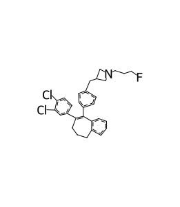 FCCCN1CC(Cc2ccc(C3=C(c4ccc(Cl)c(Cl)c4)CCCc4ccccc43)cc2)C1